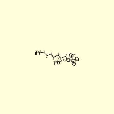 CC(C)CCCCCCCOP(=O)([O-])[O-].[Pb+2]